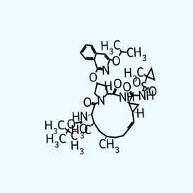 CC(C)Oc1cc2ccccc2c(O[C@@H]2C[C@H]3C(=O)N[C@]4(C(=O)NS(=O)(=O)C5(C)CC5)C[C@H]4/C=C\CC[C@H](C)C[C@@H](C)[C@H](NC(=O)OC(C)(C)C)C(=O)N3C2)n1